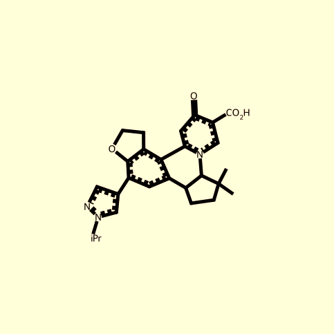 CC(C)n1cc(-c2cc3c(c4c2OCC4)-c2cc(=O)c(C(=O)O)cn2C2C3CCC2(C)C)cn1